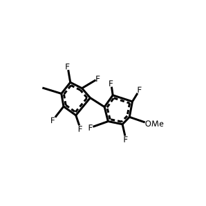 COc1c(F)c(F)c(-c2c(F)c(F)c(C)c(F)c2F)c(F)c1F